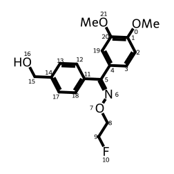 COc1ccc(C(=NOCCF)c2ccc(CO)cc2)cc1OC